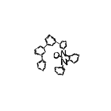 O=c1n(-c2ccccc2)c2ccccc2n1-c1cccc(-c2cccc(-c3cccc(-c4ccccc4)c3)c2)c1